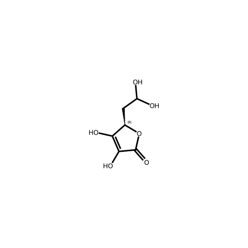 O=C1O[C@H](CC(O)O)C(O)=C1O